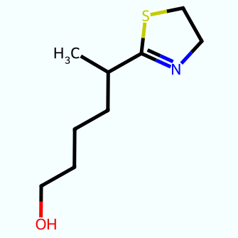 CC(CCCCO)C1=NCCS1